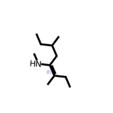 CC/C(C)=C(\CC(C)CC)NC